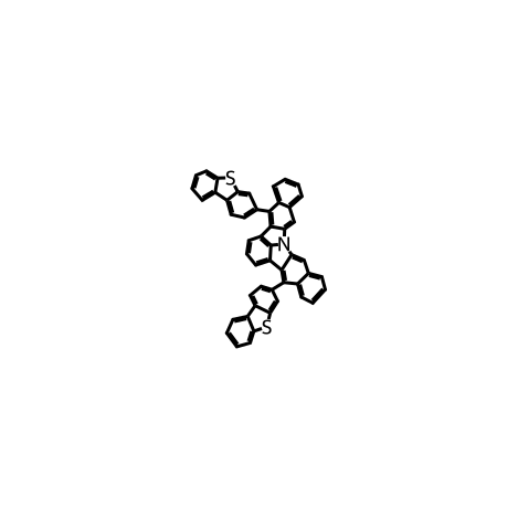 c1ccc2c(-c3ccc4c(c3)sc3ccccc34)c3c4cccc5c6c(-c7ccc8c(c7)sc7ccccc78)c7ccccc7cc6n(c3cc2c1)c45